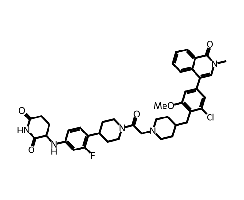 COc1cc(-c2cn(C)c(=O)c3ccccc23)cc(Cl)c1CC1CCN(CC(=O)N2CCC(c3ccc(NC4CCC(=O)NC4=O)cc3F)CC2)CC1